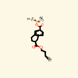 CC(C)CCCOC(=O)C1CCc2cc(C(=O)OP(C)C)ccc2C1